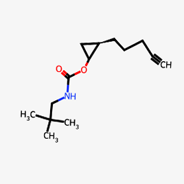 C#CCCC[C@@H]1CC1OC(=O)NCC(C)(C)C